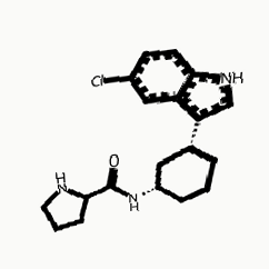 O=C(N[C@H]1CCC[C@@H](c2c[nH]c3ccc(Cl)cc23)C1)C1CCCN1